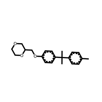 Cc1ccc(C(C)(C)c2ccc(OCC3COCCO3)cc2)cc1